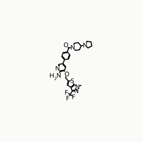 Cn1nc(C(F)(F)F)c2cc(COc3cc(-c4ccc(C(=O)N5CCC(N6CCCC6)CC5)cc4)cnc3N)sc21